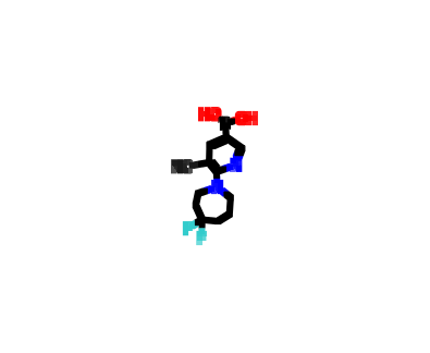 N#Cc1cc(B(O)O)cnc1N1CCCC(F)(F)CC1